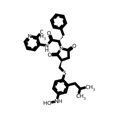 Cc1ncccc1NC(=O)[C@H](Cc1ccccc1)N1C(=O)C[C@@H](CSc2ccc(NO)cc2CC(C)C)C1=O